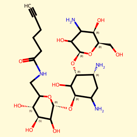 C#CCCCC(=O)NCC1O[C@H](O[C@@H]2C(N)C[C@@H](N)[C@@H](O[C@@H]3O[C@H](CO)[C@H](O)C(N)C3O)C2O)C(O)[C@@H](O)[C@@H]1O